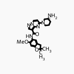 COc1cc2c(cc1NC(=O)c1cnn3ccc(N4CCC[C@@H](N)C4)nc13)CC(C)(C)O2